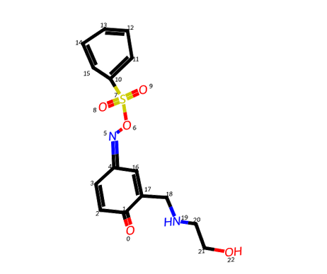 O=C1C=CC(=NOS(=O)(=O)c2ccccc2)C=C1CNCCO